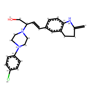 C=C1CCc2cc(/C=C/C(CO)N3CCN(c4ccc(Cl)cc4)CC3)ccc2N1